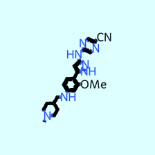 COc1cc(NCC2CCN(C)CC2)ccc1-c1cc(Nc2cnc(C#N)cn2)n[nH]1